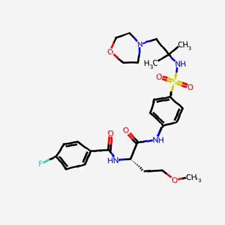 COCC[C@H](NC(=O)c1ccc(F)cc1)C(=O)Nc1ccc(S(=O)(=O)NC(C)(C)CN2CCOCC2)cc1